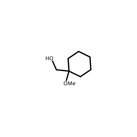 COC1(CO)CCCCC1